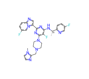 C[C@H](Nc1nc(-c2cnc3ccc(F)cn23)nc(N2CCN(Cc3nccn3C)CC2)c1F)c1ccc(F)cn1